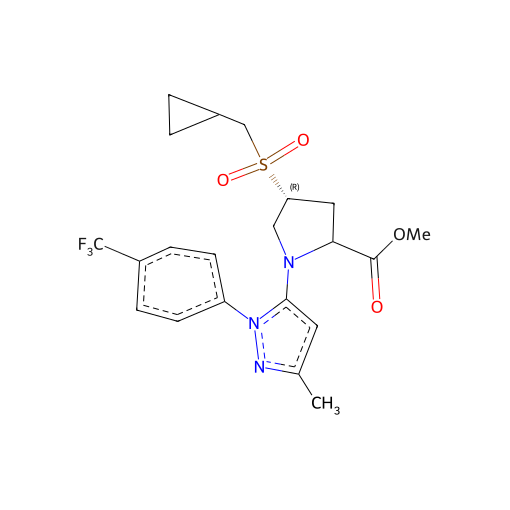 COC(=O)C1C[C@@H](S(=O)(=O)CC2CC2)CN1c1cc(C)nn1-c1ccc(C(F)(F)F)cc1